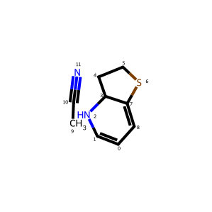 C1=CNC2CCSC2=C1.CC#N